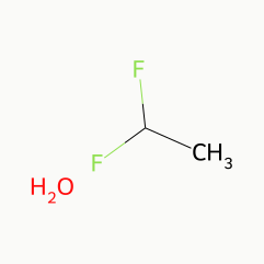 CC(F)F.O